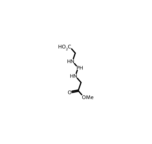 COC(=O)CNPNCC(=O)O